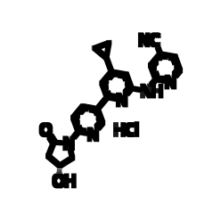 Cl.N#Cc1ccnc(Nc2cc(C3CC3)cc(-c3ccc(N4C[C@H](O)CC4=O)nc3)n2)c1